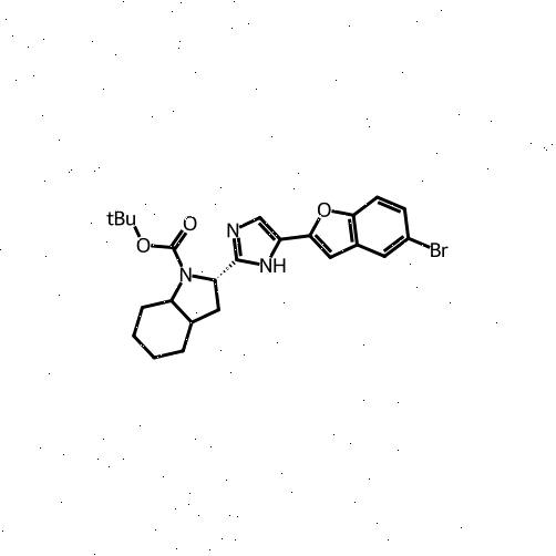 CC(C)(C)OC(=O)N1C2CCCCC2C[C@H]1c1ncc(-c2cc3cc(Br)ccc3o2)[nH]1